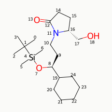 CC(C)(C)[Si](C)(C)O[C@@H](CCN1C(=O)CC[C@@H]1CO)C1CCCCC1